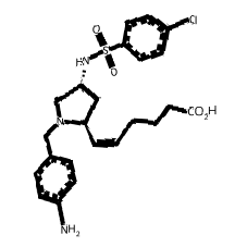 Nc1ccc(CN2C[C@H](NS(=O)(=O)c3ccc(Cl)cc3)C[C@H]2/C=C\CCCC(=O)O)cc1